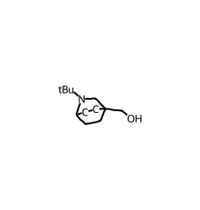 CC(C)(C)N1CC2(CO)CCC1CC2